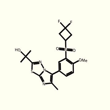 COc1ccc(-c2c(C)nc3sc(C(C)(C)O)nn23)cc1S(=O)(=O)C1CC(F)(F)C1